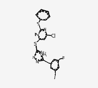 Fc1cc(I)cc(-c2nnc(Sc3cc(Cl)nc(Sc4ccccc4)n3)[nH]2)c1